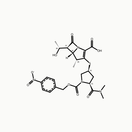 C[C@@H](O)[C@H]1C(=O)N2C(C(=O)O)=C(S[C@H]3C[C@@H](C(=O)N(C)C)N(C(=O)OCc4ccc([N+](=O)[O-])cc4)C3)[C@H](C)[C@H]12